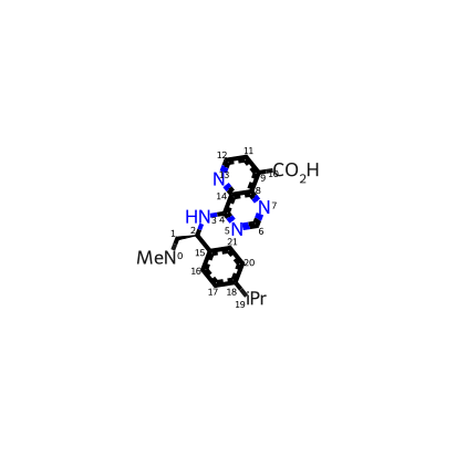 CNC[C@@H](Nc1ncnc2c(C(=O)O)ccnc12)c1ccc(C(C)C)cc1